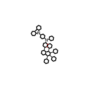 c1ccc(-c2c(-c3ccccc3)c(-c3ccccc3)c3c(-c4ccc(N(c5ccccc5)c5ccc(-n6c7ccccc7c7ccccc76)cc5)cc4)cccc3c2-c2ccccc2)cc1